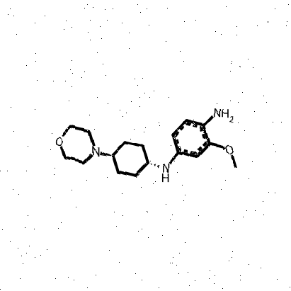 COc1cc(N[C@H]2CC[C@H](N3CCOCC3)CC2)ccc1N